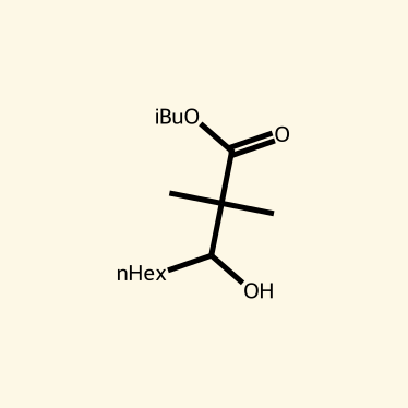 [CH2]C([CH2])COC(=O)C(C)(C)C(O)CCCCCC